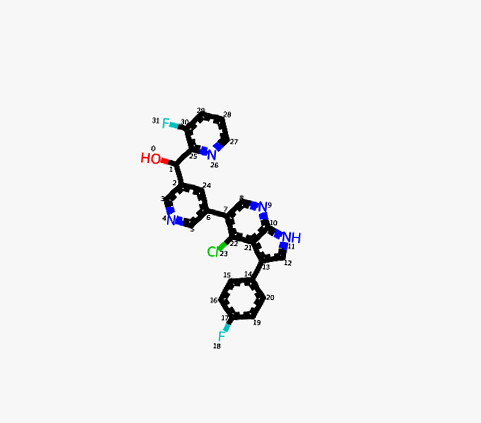 OC(c1cncc(-c2cnc3[nH]cc(-c4ccc(F)cc4)c3c2Cl)c1)c1ncccc1F